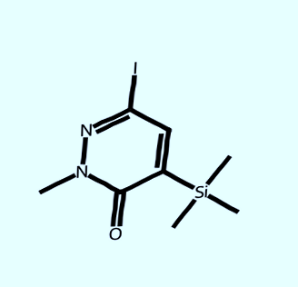 Cn1nc(I)cc([Si](C)(C)C)c1=O